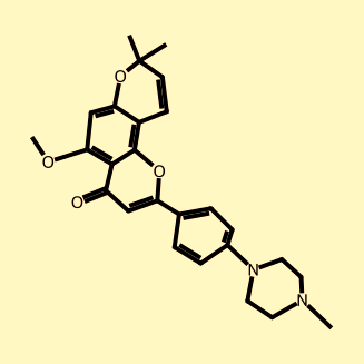 COc1cc2c(c3oc(-c4ccc(N5CCN(C)CC5)cc4)cc(=O)c13)C=CC(C)(C)O2